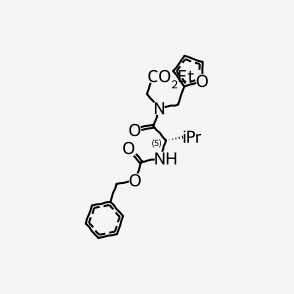 CCOC(=O)CN(Cc1ccco1)C(=O)[C@@H](NC(=O)OCc1ccccc1)C(C)C